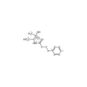 CC(C)(S)C(NC(=O)CCCc1ccccc1)C(=O)O